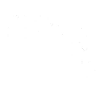 Cc1ccc(C(=O)Nc2ccc(C)c(CCN3CCC(c4c[nH]c5cc(Cl)ccc45)CC3)c2)cc1